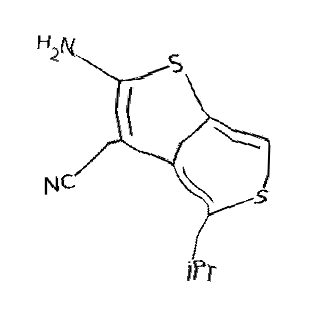 CC(C)c1scc2sc(N)c(C#N)c12